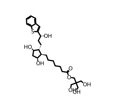 O=C(CCCCCC[C@@H]1[C@@H](CC[C@@H](O)c2cc3ccccc3s2)[C@H](O)C[C@@H]1O)OCC(CO)(CO)CO